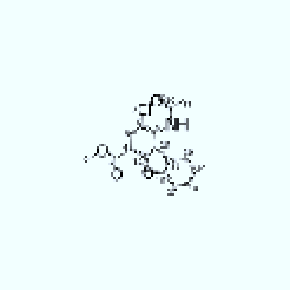 COC(=O)c1cc(Cl)c(NC(C)=O)c2c1oc1ccccc12